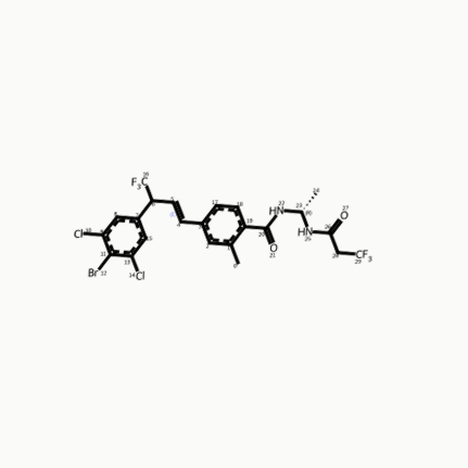 Cc1cc(/C=C/C(c2cc(Cl)c(Br)c(Cl)c2)C(F)(F)F)ccc1C(=O)N[C@H](C)NC(=O)CC(F)(F)F